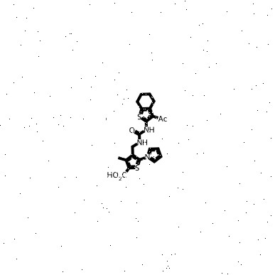 CC(=O)c1c(NC(=O)NCc2c(-n3cccc3)sc(C(=O)O)c2C)sc2c1CCCC2